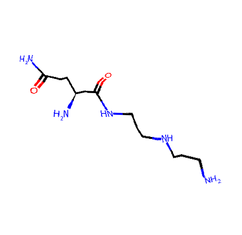 NCCNCCNC(=O)[C@@H](N)CC(N)=O